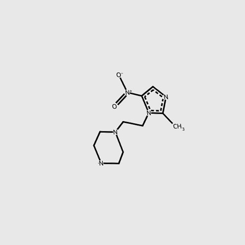 Cc1ncc([N+](=O)[O-])n1CCN1CC[N]CC1